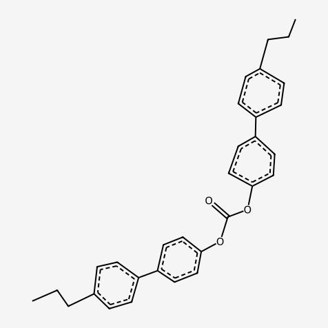 CCCc1ccc(-c2ccc(OC(=O)Oc3ccc(-c4ccc(CCC)cc4)cc3)cc2)cc1